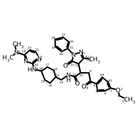 CCOc1ccc(C(=O)CC(C(=O)NCC2CCC(Nc3nccc(N(C)C)n3)CC2)C2C(=O)N(c3ccccc3)N=C2C)cc1